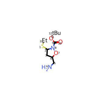 CCSC1CC(CN)ON1C(=O)OC(C)(C)C